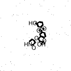 CC1(C)Oc2ccc(S(=O)(=O)c3cccc(O)c3)cc2[C@@H](Oc2cc[nH]c(=O)c2)[C@]1(C)O